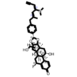 C#C/C=C(\C=C(/C)Cc1ccc([C@H]2O[C@@H]3C[C@H]4[C@@H]5C[C@H](F)C6=CC(=O)C=C[C@]6(C)[C@@]5(F)[C@@H](O)C[C@]4(C)[C@]3(C(=O)CO)O2)cc1)N(C)C